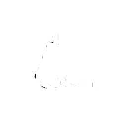 CCCCCC(O)CC/C=C\C/C=C\CCCCCCC(=O)O